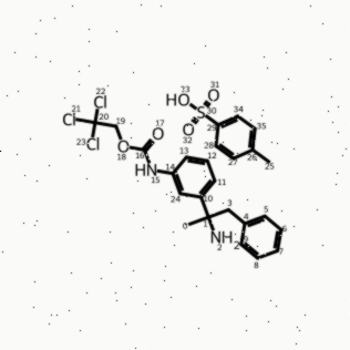 CC(N)(Cc1ccccc1)c1cccc(NC(=O)OCC(Cl)(Cl)Cl)c1.Cc1ccc(S(=O)(=O)O)cc1